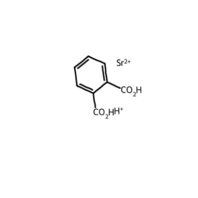 O=C(O)c1ccccc1C(=O)O.[H+].[Sr+2]